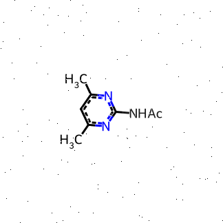 CC(=O)Nc1nc(C)cc(C)n1